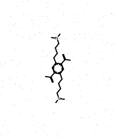 C=C(C)c1cc(CCCCN(C)C)c(C(=C)C)cc1CCCCN(C)C